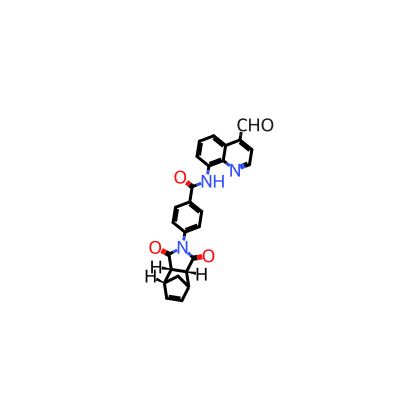 O=Cc1ccnc2c(NC(=O)c3ccc(N4C(=O)[C@@H]5[C@H](C4=O)C4C=C[C@H]5C4)cc3)cccc12